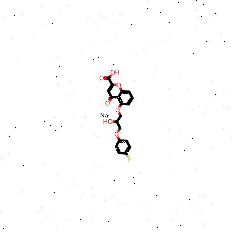 O=C(O)c1cc(=O)c2c(OCC(O)COc3ccc(F)cc3)cccc2o1.[Na]